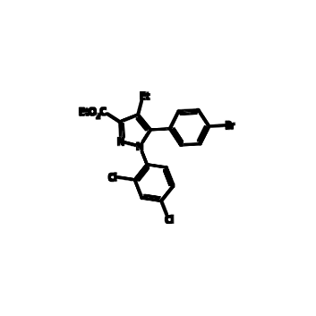 CCOC(=O)c1nn(-c2ccc(Cl)cc2Cl)c(-c2ccc(Br)cc2)c1CC